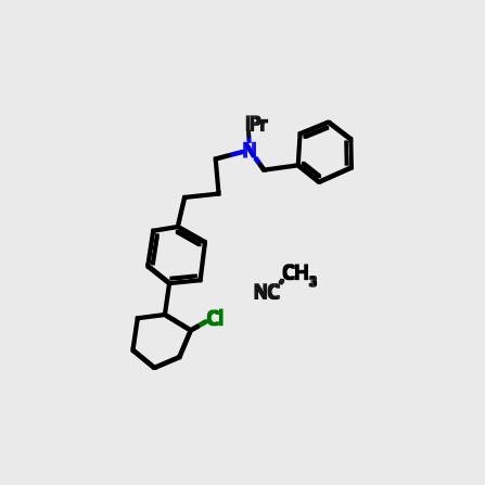 CC#N.CC(C)N(CCCc1ccc(C2CCCCC2Cl)cc1)Cc1ccccc1